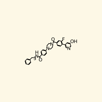 O=C(NSCc1ccccc1)c1ccc(N2CCN(C(=O)c3ccc(-c4cncc(O)c4)c(F)c3)CC2)cc1